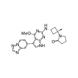 COc1nc(N[C@H]2C[C@@](C)(N3CCCC3=O)C2)nc2[nH]cc(-c3ccn4ncnc4c3)c12